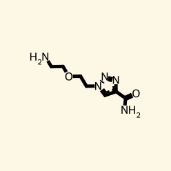 NCCOCCn1cc(C(N)=O)nn1